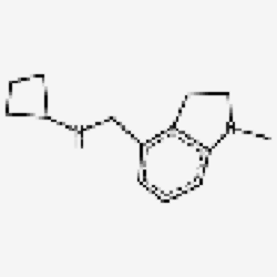 CN1CCc2c(CNC3CCC3)cccc21